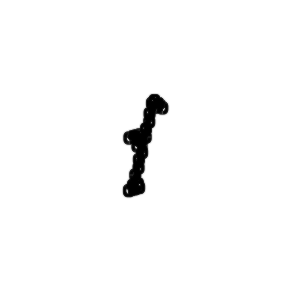 O=C(CCOCCOCCOCCOCCN(CCOCCOCCOCCOCCC(=O)ON1C(=O)CCC1=O)C(=O)CCN1C(=O)C=CC1=O)ON1C(=O)CCC1=O